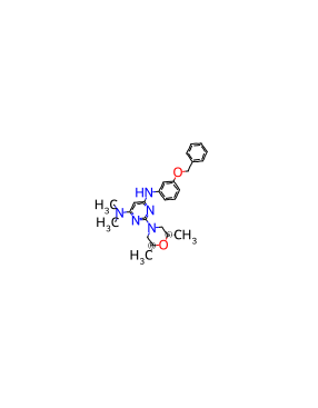 C[C@@H]1CN(c2nc(Nc3cccc(OCc4ccccc4)c3)cc(N(C)C)n2)C[C@H](C)O1